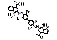 Nc1c(/N=N/c2c(Br)cc(-c3cc(Br)c(/N=N/c4cc(C(=O)O)c5ccccc5c4N)c(Br)c3)cc2Br)cc(C(=O)O)c2ccccc12